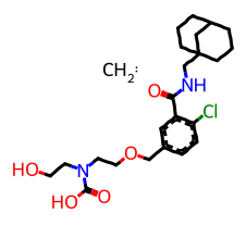 O=C(NCC12CCCC(CCC1)C2)c1cc(COCCN(CCO)C(=O)O)ccc1Cl.[CH2]